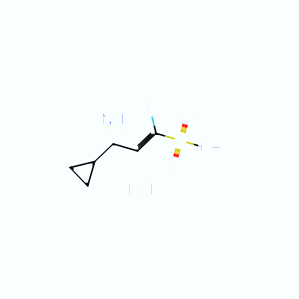 CS(=O)(=O)/C(F)=C/[C@@H](N)C1CC1.Cl